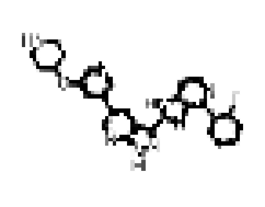 Fc1ccccc1-c1nccc2[nH]c(-c3n[nH]c4ncc(-c5cncc(OC6CCNCC6)c5)cc34)nc12